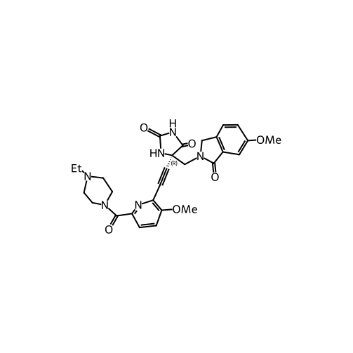 CCN1CCN(C(=O)c2ccc(OC)c(C#C[C@]3(CN4Cc5ccc(OC)cc5C4=O)NC(=O)NC3=O)n2)CC1